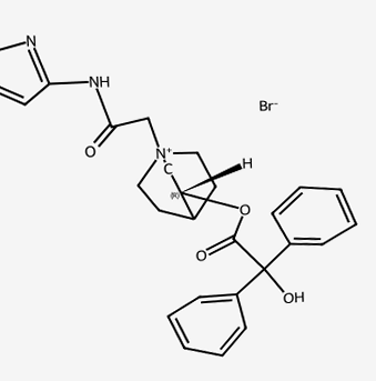 O=C(C[N+]12CCC(CC1)[C@@H](OC(=O)C(O)(c1ccccc1)c1ccccc1)C2)Nc1ccon1.[Br-]